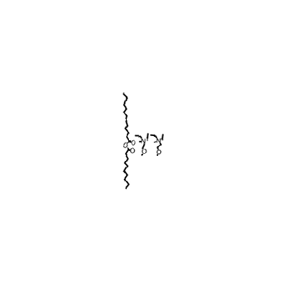 CCCCCCCCCCCC(=O)OC(=O)CCCCCCCCC.CC[N+](C)(CC)CCOC.CC[N+](C)(CC)CCOC